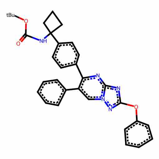 CC(C)(C)OC(=O)NC1(c2ccc(-c3nc4nc(Oc5ccccc5)nn4cc3-c3ccccc3)cc2)CCC1